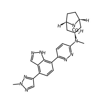 CN(c1ccc(-c2ccc(-c3cnn(C)n3)c3cn[nH]c23)nn1)[C@@H]1C[C@H]2CC[C@@H](C1)N2C(=O)O